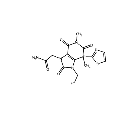 CC(C)Cn1c2c(n(CC(N)=O)c1=O)C(=O)N(C)C(=O)[N+]2(C)c1nccs1